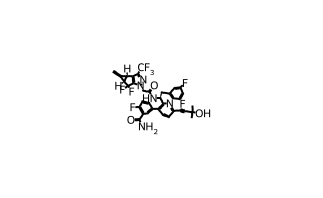 C=C1[C@@H]2c3c(C(F)(F)F)nn(CC(=O)N[C@@H](Cc4cc(F)cc(F)c4)c4nc(C#CC(C)(C)O)ccc4-c4ccc(F)c(C(N)=O)c4)c3C(F)(F)[C@H]12